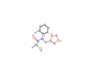 Cc1ccccc1N(CC1COCO1)C(=O)C(C)Cl